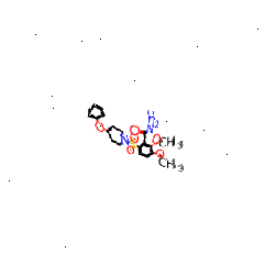 COc1ccc(S(=O)(=O)N2CCC(Oc3ccccc3)CC2)c(C(N)=O)c1OC